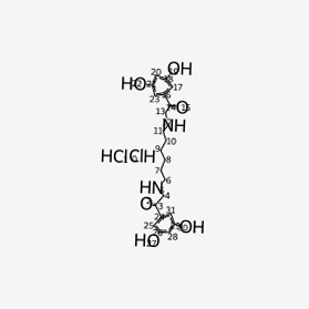 Cl.Cl.O=C(CNCCCCCCNCC(=O)c1cc(O)cc(O)c1)c1cc(O)cc(O)c1